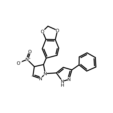 O=[N+]([O-])C1[C]=NN(c2cc(-c3ccccc3)n[nH]2)C1c1ccc2c(c1)OCO2